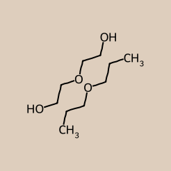 CCCOCCC.OCCOCCO